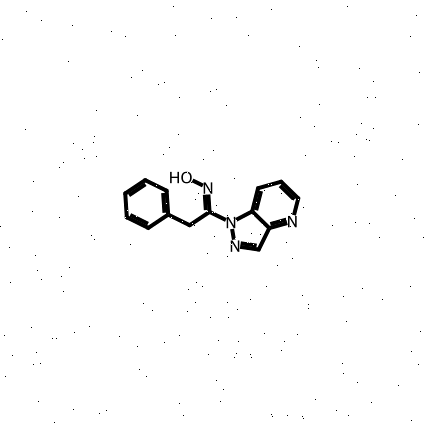 ON=C(Cc1ccccc1)n1ncc2ncccc21